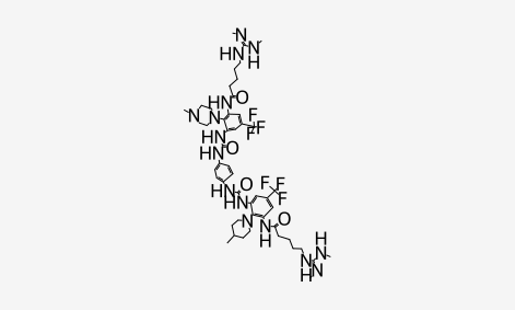 C/N=C(/NC)NCCCCC(=O)Nc1cc(C(F)(F)F)cc(NC(=O)Nc2ccc(NC(=O)Nc3cc(C(F)(F)F)cc(NC(=O)CCCCN/C(=N\C)NC)c3N3CCN(C)CC3)cc2)c1N1CCC(C)CC1